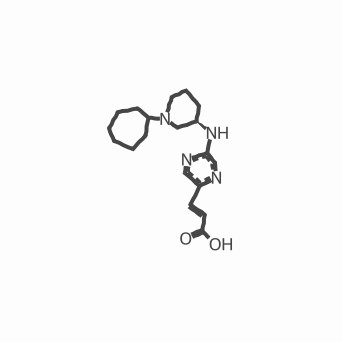 O=C(O)/C=C/c1cnc(N[C@@H]2CCCN(C3CCCCCC3)C2)cn1